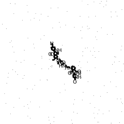 CCc1cc2c(cc1N1CC(C)N(CC(=O)NCCCNc3cccc4c(=C=O)n(C5CCC(=C=O)NC5=C=O)c(=C=O)c34)C(C)C1)C(C)(C)c1[nH]c3cc(C#N)ccc3c1C2=C=O